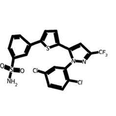 NS(=O)(=O)c1cccc(-c2ccc(-c3cc(C(F)(F)F)nn3-c3cc(Cl)ccc3Cl)s2)c1